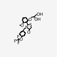 COc1cccc(OC[C@@H](O)CO)c1C1SCC(=O)N1Cc1ccc(OC(F)(F)F)cc1